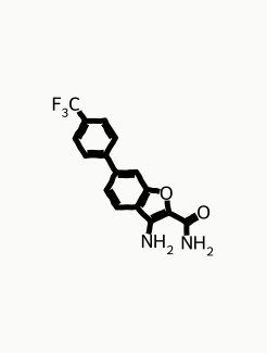 NC(=O)c1oc2cc(-c3ccc(C(F)(F)F)cc3)ccc2c1N